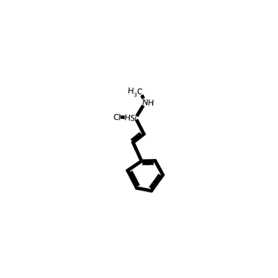 CN[SiH](Cl)C=Cc1ccccc1